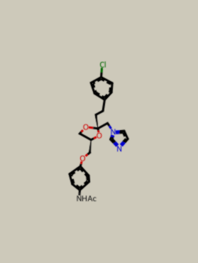 CC(=O)Nc1ccc(OC[C@H]2CO[C@](CCc3ccc(Cl)cc3)(Cn3ccnc3)O2)cc1